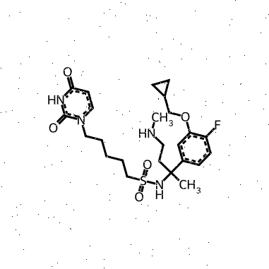 CNCCC(C)(NS(=O)(=O)CCCCCn1ccc(=O)[nH]c1=O)c1ccc(F)c(OCC2CC2)c1